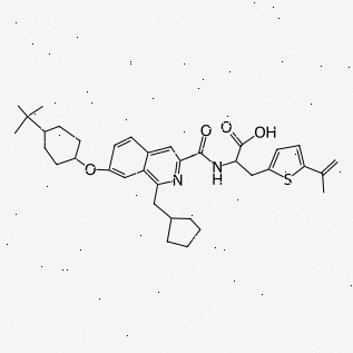 C=C(C)c1ccc(CC(NC(=O)c2cc3ccc(OC4CCC(C(C)(C)C)CC4)cc3c(CC3CCCC3)n2)C(=O)O)s1